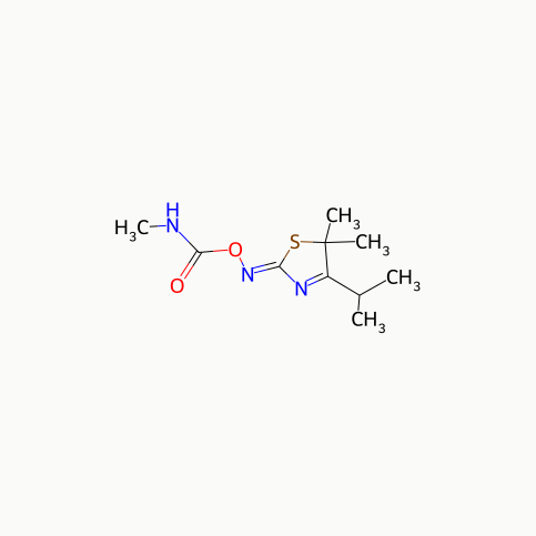 CNC(=O)ON=C1N=C(C(C)C)C(C)(C)S1